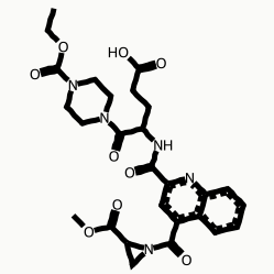 CCOC(=O)N1CCN(C(=O)C(CCC(=O)O)NC(=O)c2cc(C(=O)N3CC3C(=O)OC)c3ccccc3n2)CC1